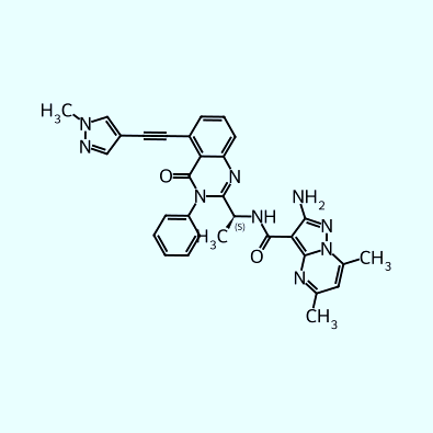 Cc1cc(C)n2nc(N)c(C(=O)N[C@@H](C)c3nc4cccc(C#Cc5cnn(C)c5)c4c(=O)n3-c3ccccc3)c2n1